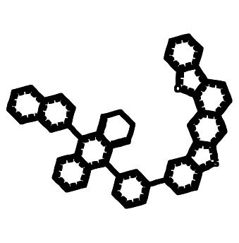 C1=c2c(-c3cccc(-c4ccc5sc6cc7ccc8c9ccccc9oc8c7cc6c5c4)c3)c3ccccc3c(-c3ccc4ccccc4c3)c2=CCC1